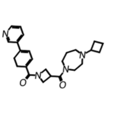 O=C(C1=CC=C(c2cccnc2)CC1)N1CC(C(=O)N2CCCN(C3CCC3)CC2)C1